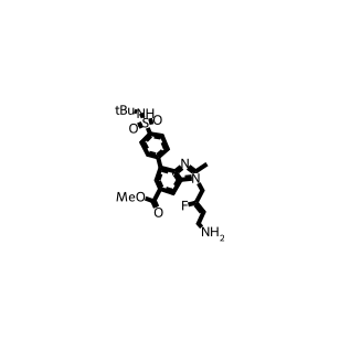 COC(=O)c1cc(-c2ccc(S(=O)(=O)NC(C)(C)C)cc2)c2nc(C)n(CC(F)=CCN)c2c1